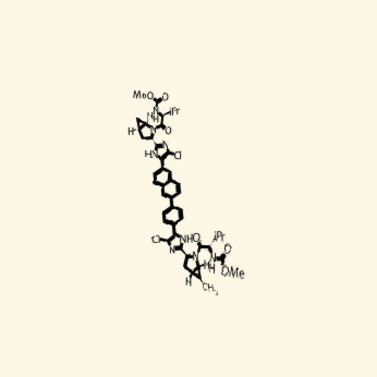 COC(=O)N[C@H](C(=O)N1[C@@H]2[C@H](C)[C@@H]2C[C@H]1c1nc(Cl)c(-c2ccc(-c3ccc4cc(-c5[nH]c([C@@H]6C[C@H]7C[C@H]7N6C(=O)[C@@H](NC(=O)OC)C(C)C)nc5Cl)ccc4c3)cc2)[nH]1)C(C)C